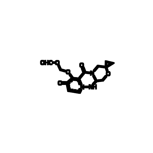 O=COCOc1c2n(ccc1=O)NC1COC3(CC3)CN1C2=O